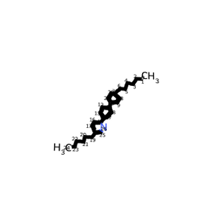 CCCCCCCc1ccc(-c2ccc(-c3ccc(CCCCCC)cn3)cc2)cc1